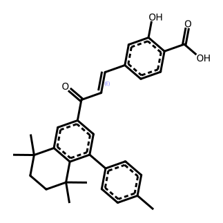 Cc1ccc(-c2cc(C(=O)/C=C/c3ccc(C(=O)O)c(O)c3)cc3c2C(C)(C)CCC3(C)C)cc1